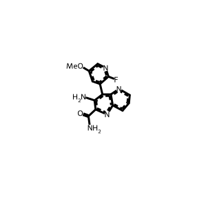 COc1cnc(F)c(-c2c(N)c(C(N)=O)nc3cccnc23)c1